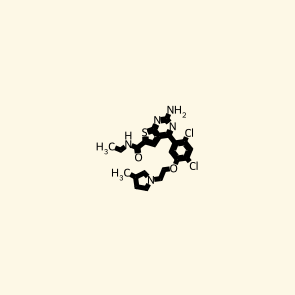 CCNC(=O)c1cc2c(-c3cc(OCCN4CCC(C)C4)c(Cl)cc3Cl)nc(N)nc2s1